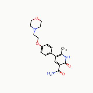 NC(=O)c1cc(-c2ccc(OCCN3CCOCC3)cc2)c(C(F)(F)F)[nH]c1=O